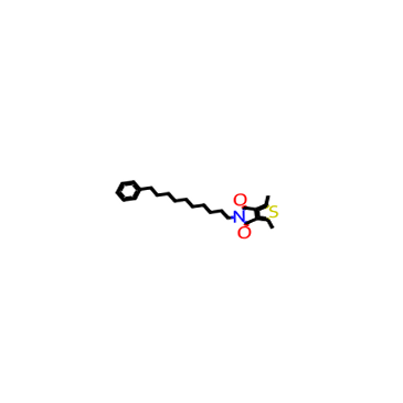 Cc1sc(C)c2c1C(=O)N(CCCCCCCCCCc1ccccc1)C2=O